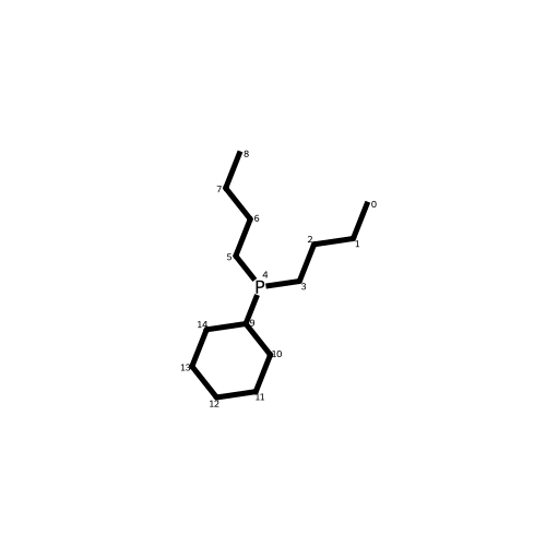 CCCCP(CCCC)C1CCCCC1